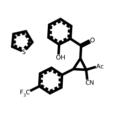 CC(=O)C1(C#N)C(C(=O)c2ccccc2O)C1c1ccc(C(F)(F)F)cc1.c1ccsc1